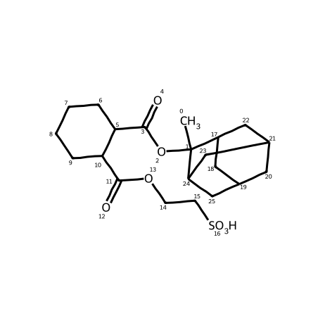 CC1(OC(=O)C2CCCCC2C(=O)OCCS(=O)(=O)O)C2CC3CC(C2)CC1C3